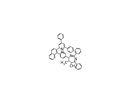 CC1C(c2ccccc2)=NC(c2ccccc2)=NC(c2ccc(-c3c(C4C=C(c5ccccc5)C=C(c5ccccc5)N4)ccc4ccccc34)cc2)C1C